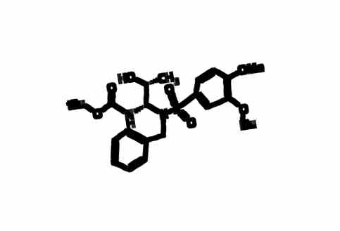 CCC(C)Oc1cc(S(=O)(=O)N(Cc2ccccc2)[C@H](NC(=O)OC(C)(C)C)[C@@H](C)O)ccc1OC